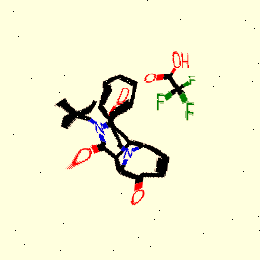 CC(C)(C)N1C(=O)C2C(C1=O)C1C(=O)C=CC2N1Cc1ccccc1.O=C(O)C(F)(F)F